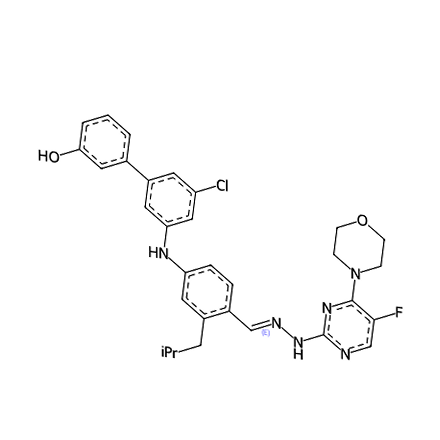 CC(C)Cc1cc(Nc2cc(Cl)cc(-c3cccc(O)c3)c2)ccc1/C=N/Nc1ncc(F)c(N2CCOCC2)n1